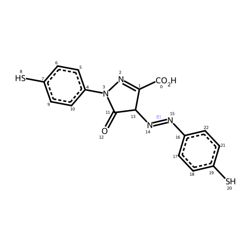 O=C(O)C1=NN(c2ccc(S)cc2)C(=O)C1/N=N/c1ccc(S)cc1